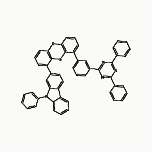 c1ccc(-c2nc(-c3ccccc3)nc(-c3cccc(-c4cccc5c4Sc4c(cccc4-c4ccc6c7ccccc7n(-c7ccccc7)c6c4)S5)c3)n2)cc1